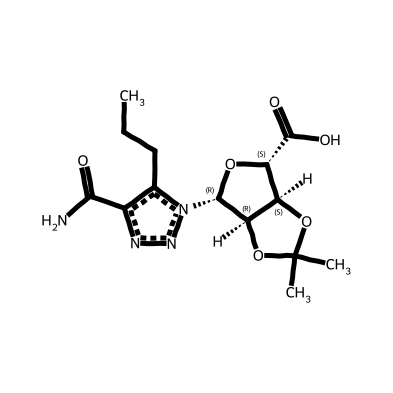 CCCc1c(C(N)=O)nnn1[C@@H]1O[C@H](C(=O)O)[C@H]2OC(C)(C)O[C@H]21